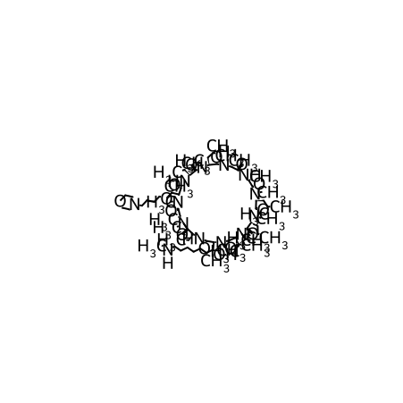 CC[C@@H]1NC(=O)[C@H]([C@H](O)[C@H](C)CCCCCNC)N(C)C(=O)[C@H](C(C)C)N(C)C(=O)[C@H](CC(C)C)N(C)C(=O)[C@H](CC(C)C)N(C)C(=O)[C@@H](C)NC(=O)[C@H](C)NC(=O)[C@H](CC(C)C)N(C)C(=O)[C@H](C(C)C)NC(=O)[C@H]([C@@H](C)OCCCCN2CCOCC2)N(C)C(=O)[C@@H](C)N(C)C1=O